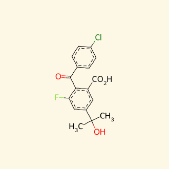 CC(C)(O)c1cc(F)c(C(=O)c2ccc(Cl)cc2)c(C(=O)O)c1